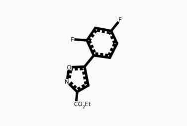 CCOC(=O)c1cc(-c2ccc(F)cc2F)on1